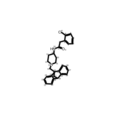 O=C(Cc1ccccc1Cl)NC1CCN(CC23CC(c4ccccc42)c2ccccc23)CC1